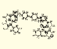 CCN(CC)[C@@H](C(=O)N1CCC[C@H]1c1ncc(-c2ccc(-c3ccc(-c4cnc([C@@H]5CCCN5C(=O)[C@@H](c5ccccc5)N5CCOCC5)[nH]4)cc3)cc2)[nH]1)c1ccccc1